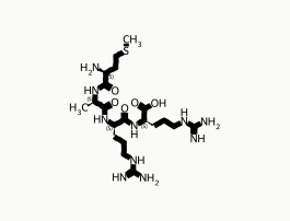 CSCC[C@H](N)C(=O)N[C@@H](C)C(=O)N[C@@H](CCCNC(=N)N)C(=O)N[C@@H](CCCNC(=N)N)C(=O)O